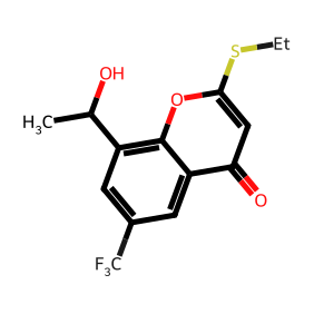 CCSc1cc(=O)c2cc(C(F)(F)F)cc(C(C)O)c2o1